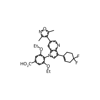 CCOc1cc(C(=O)O)cc(OCC)c1-n1cc(C2=CCC(F)(F)CC2)c2ncc(-c3c(C)noc3C)cc21